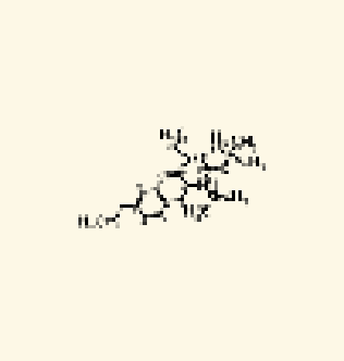 C=CCc1ccc(CC(C(=O)OCC)N(C(=O)OC(C)(C)C)[SiH](C)C)cc1